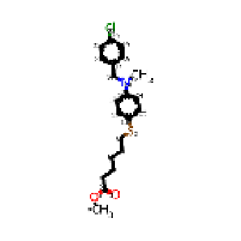 COC(=O)CCCCCSc1ccc(N(C)Cc2ccc(Cl)cc2)cc1